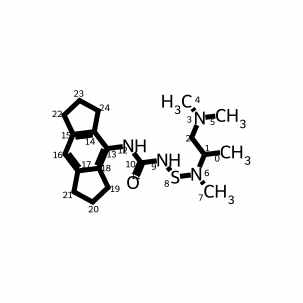 CC(CN(C)C)N(C)SNC(=O)Nc1c2c(cc3c1CCC3)CCC2